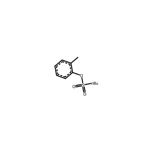 CCCCS(=O)(=O)Oc1ccccc1C